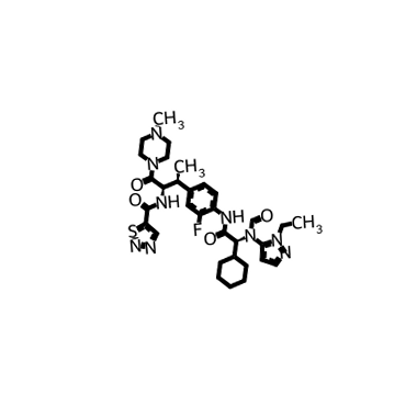 CCn1nccc1N(C=O)[C@H](C(=O)Nc1ccc([C@H](C)[C@@H](NC(=O)c2cnns2)C(=O)N2CCN(C)CC2)cc1F)C1CCCCC1